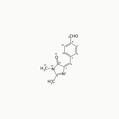 CC1=NC(=Cc2ccc(C=O)cc2)C(=O)N1C